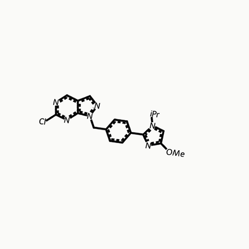 COc1cn(C(C)C)c(-c2ccc(Cn3ncc4cnc(Cl)nc43)cc2)n1